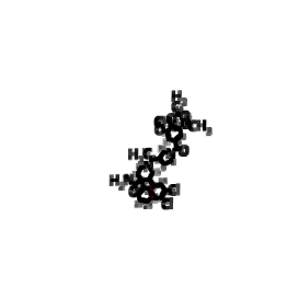 COc1cc(C(=O)N2CCC(C(C)N3CCC(C(N)=O)(c4ccccc4)C(c4ccc(Cl)c(Cl)c4)C3)C2)cc(OC)c1OC(C)=O